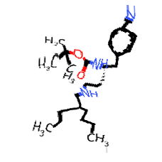 CCCCC(CCC)CNCC[C@@H](Cc1ccc(C#N)cc1)NC(=O)OC(C)(C)C